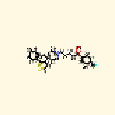 CC(=O)C1(c2ccsc2-c2ccccc2)CCN(CCCCC(=O)c2ccc(F)cc2)CC1